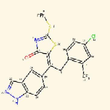 CCCSC1=NC(=O)C(=C(Cc2ccc(Cl)cc2C(F)(F)F)c2ccc3[nH]ncc3c2)S1